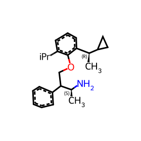 CC(C)c1cccc([C@H](C)C2CC2)c1OCC(c1ccccc1)[C@H](C)N